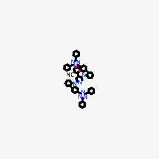 N#Cc1ccccc1-c1cc(-n2c3ccccc3c3ccc(-c4nc(-c5ccccc5)nc(-c5ccccc5)n4)cc32)ncc1-n1c2ccccc2c2ccc(-c3nc(-c4ccccc4)nc(-c4ccccc4)n3)cc21